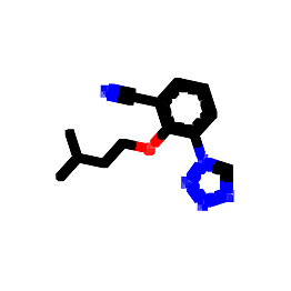 CC(C)CCOc1c(C#N)cccc1-n1cnnn1